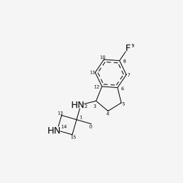 CC1(NC2CCc3cc(F)ccc32)CNC1